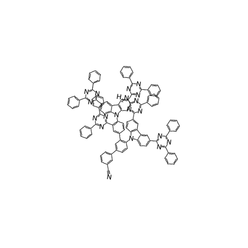 N#Cc1cccc(-c2ccc(-n3c4ccc(-c5nc(N)nc(-c6ccccc6)n5)cc4c4cc(-c5nc(-c6ccccc6)nc(-c6ccccc6)n5)ccc43)c(-c3ccc(-n4c5ccc(-c6nc(-c7ccccc7)nc(-c7ccccc7)n6)cc5c5cc(-c6nc(-c7ccccc7)nc(-c7ccccc7)n6)ccc54)c(-c4nc(-c5ccccc5)nc(-c5ccccc5)n4)c3)c2)c1